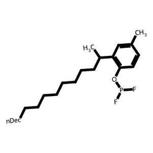 CCCCCCCCCCCCCCCCCCC(C)c1cc(C)ccc1OP(F)F